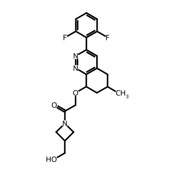 CC1Cc2cc(-c3c(F)cccc3F)nnc2C(OCC(=O)N2CC(CO)C2)C1